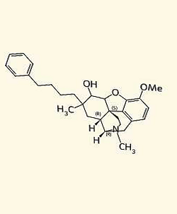 COc1ccc2c3c1OC1C(O)C(C)(CCCCc4ccccc4)C[C@H]4[C@@H](C2)N(C)CC[C@]314